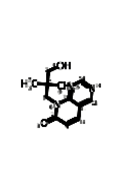 CC(C)(CO)Cn1c(=O)ccc2cncnc21